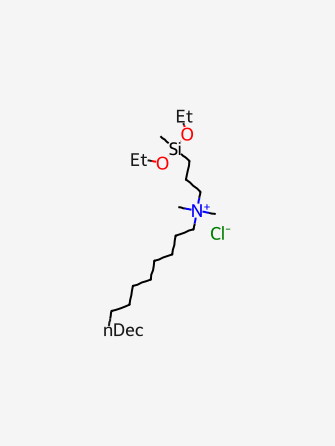 CCCCCCCCCCCCCCCCCC[N+](C)(C)CCC[Si](C)(OCC)OCC.[Cl-]